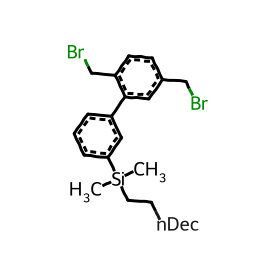 CCCCCCCCCCCC[Si](C)(C)c1cccc(-c2cc(CBr)ccc2CBr)c1